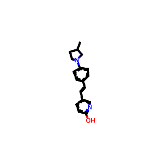 CC1CCN(c2ccc(/C=C/c3ccc(O)nc3)cc2)C1